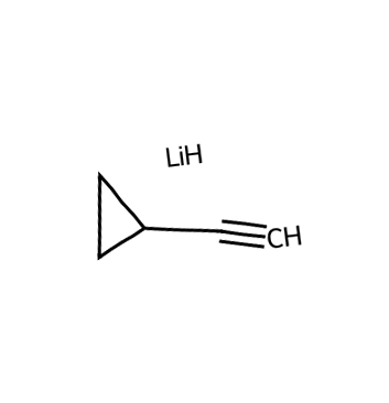 C#CC1CC1.[LiH]